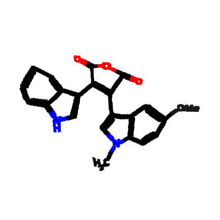 COc1ccc2c(c1)c(C1=C(c3c[nH]c4ccccc34)C(=O)OC1=O)cn2C